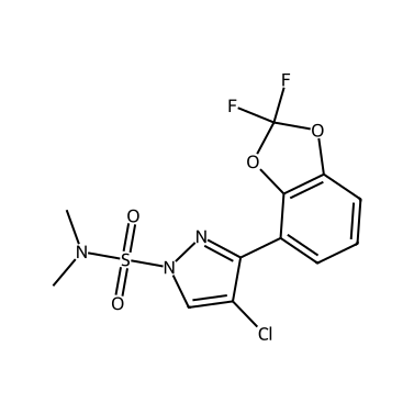 CN(C)S(=O)(=O)n1cc(Cl)c(-c2cccc3c2OC(F)(F)O3)n1